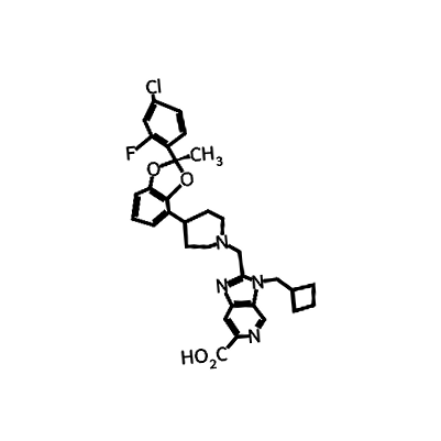 C[C@]1(c2ccc(Cl)cc2F)Oc2cccc(C3CCN(Cc4nc5cc(C(=O)O)ncc5n4CC4CCC4)CC3)c2O1